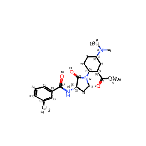 COC(=O)[C@@H]1C[C@H](N(C)C(C)(C)C)CC[C@@H]1N1CC[C@H](NC(=O)c2cccc(C(F)(F)F)c2)C1=O